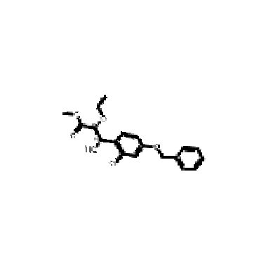 CCO[C@H](C(=O)OC)[C@H](O)c1ccc(OCc2ccccc2)cc1Cl